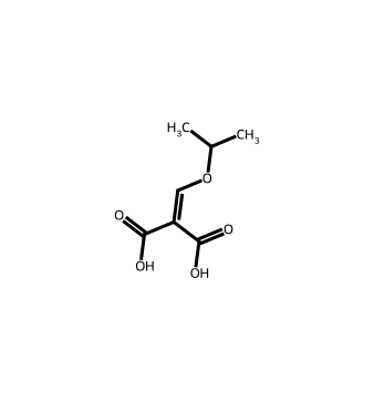 CC(C)OC=C(C(=O)O)C(=O)O